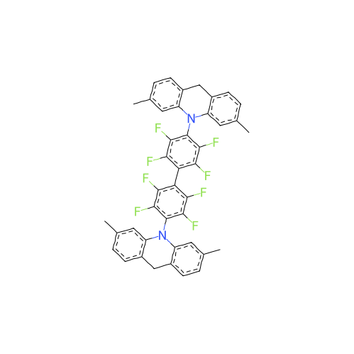 Cc1ccc2c(c1)N(c1c(F)c(F)c(-c3c(F)c(F)c(N4c5cc(C)ccc5Cc5ccc(C)cc54)c(F)c3F)c(F)c1F)c1cc(C)ccc1C2